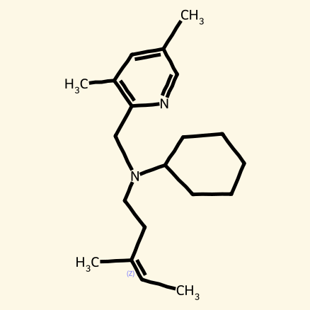 C/C=C(/C)CCN(Cc1ncc(C)cc1C)C1CCCCC1